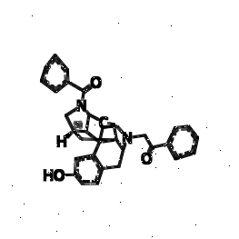 O=C(CN1CCC23c4cc(O)ccc4CC1C21CCC2C3[C@@H](CN2C(=O)c2ccccc2)C1)c1ccccc1